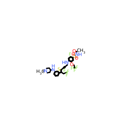 CC(=O)NS(=O)(=O)c1cc(OCC(F)(F)F)c(NCC#Cc2sc3c(NC4CCN(C)CC4)cccc3c2CC(F)(F)F)cc1F